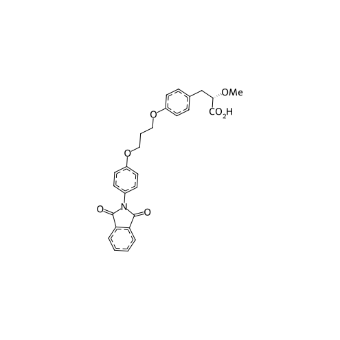 CO[C@@H](Cc1ccc(OCCCOc2ccc(N3C(=O)c4ccccc4C3=O)cc2)cc1)C(=O)O